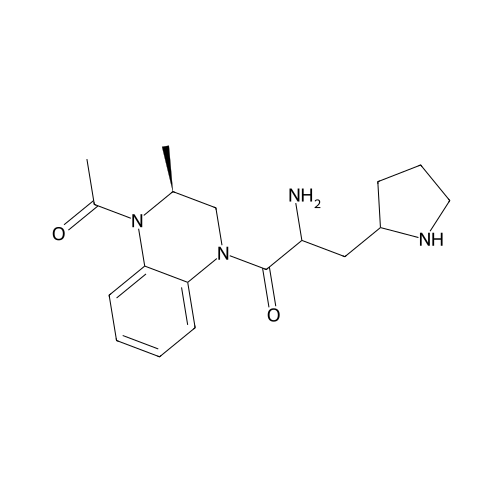 CC(=O)N1c2ccccc2N(C(=O)C(N)CC2CCCN2)C[C@@H]1C